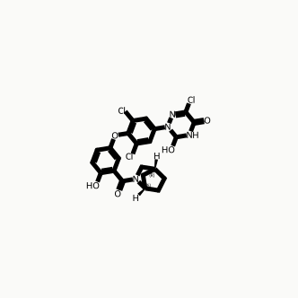 O=C1NC(O)N(c2cc(Cl)c(Oc3ccc(O)c(C(=O)N4C[C@@H]5CC[C@H]4C5)c3)c(Cl)c2)N=C1Cl